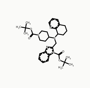 CC(C)(C)OC(=O)N1CCC(N(Cc2nc3ccccc3n2C(=O)OC(C)(C)C)C2CCCc3cccnc32)CC1